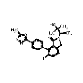 Cc1nnc(-c2ccc(-c3c(F)ccc4c3C(=O)N(C(C(C)(C)O)C(F)(F)F)C4)cc2)o1